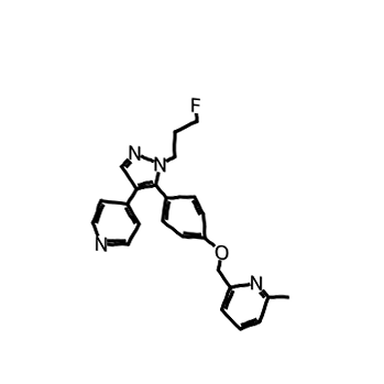 Cc1cccc(COc2ccc(-c3c(-c4ccncc4)cnn3CCCF)cc2)n1